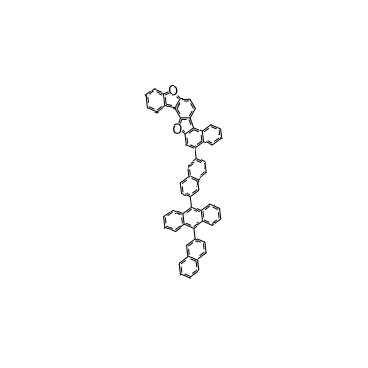 c1ccc2cc(-c3c4ccccc4c(-c4ccc5cc(-c6cc7oc8c(ccc9oc%10ccccc%10c98)c7c7ccccc67)ccc5c4)c4ccccc34)ccc2c1